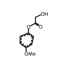 COc1ccc(OC(=O)CO)cc1